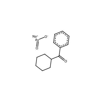 O=C(c1ccccc1)C1CCCCC1.O=[As][O-].[Na+]